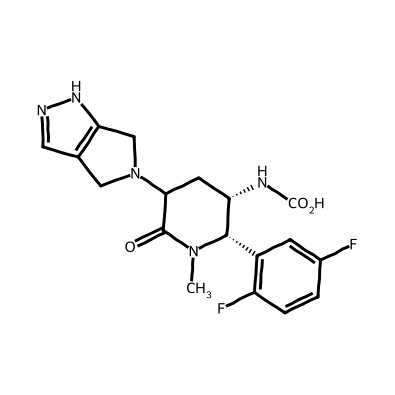 CN1C(=O)C(N2Cc3cn[nH]c3C2)C[C@H](NC(=O)O)[C@@H]1c1cc(F)ccc1F